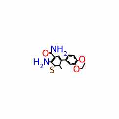 CC1C(=S)C(N)=C(C(N)=O)C=C1c1ccc2c(c1)OCCO2